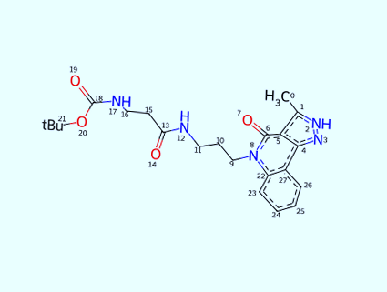 Cc1[nH]nc2c1c(=O)n(CCCNC(=O)CCNC(=O)OC(C)(C)C)c1ccccc21